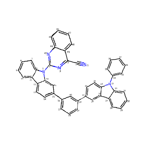 N#Cc1nc(-n2c3ccccc3c3ccc(-c4cccc(-c5ccc6c(c5)c5ccccc5n6-c5ccccc5)c4)cc32)nc2ccccc12